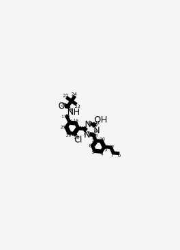 CCCc1cccc(-c2nc(O)nc(-c3cc(CNC(=O)C(C)(C)C)ccc3Cl)n2)c1